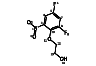 O=[N+]([O-])c1cc(F)cc(F)c1OCCO